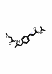 COCC(=O)NC(C)Cc1ccc(/C=C/C(=O)NC(C)C)cc1